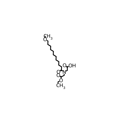 CCOC(=O)CN(CC(=O)O)C(=O)CCCCCCCCCCCOC